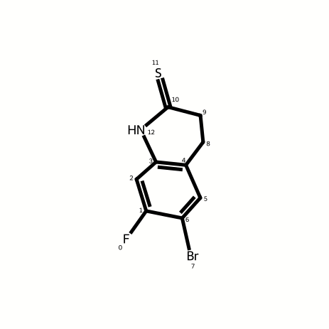 Fc1cc2c(cc1Br)CCC(=S)N2